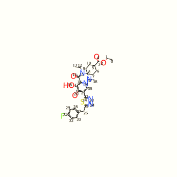 CCOC(=O)C1CCC2(CC1)N(CC)C(=O)c1c(O)c(=O)c(-c3nnc(Cc4ccc(F)cc4)s3)cn1N2C